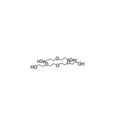 CCCCCCCCCCCCOCCCCCCCCCCCC.OCCOCCOCCOCCO